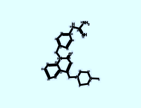 CN1CCN(Cc2cc(=O)n(Cc3ccc(NC(=N)N)cc3)c3ccccc23)CC1